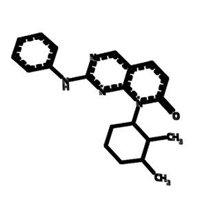 CC1CCCC(n2c(=O)ccc3cnc(Nc4ccccc4)nc32)C1C